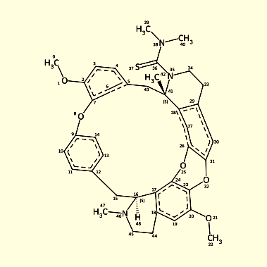 COc1ccc2cc1Oc1ccc(cc1)C[C@H]1c3c(cc(OC)c4c3Oc3cc5c(cc3O4)CCN(C(=S)N(C)C)[C@@]5(C)C2)CCN1C